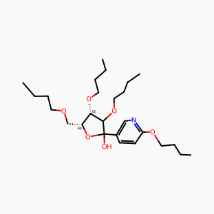 CCCCOC[C@H]1OC(O)(c2ccc(OCCCC)nc2)C(OCCCC)[C@H]1OCCCC